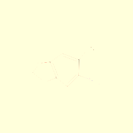 N#Cc1cc2c(cc1N)OCO2